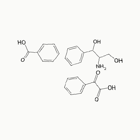 NC(CO)C(O)c1ccccc1.O=C(O)C(=O)c1ccccc1.O=C(O)c1ccccc1